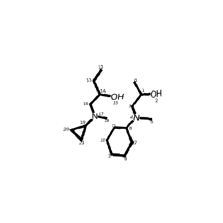 CC(O)CN(C)C1CCCCC1.CCC(O)CN(C)C1CC1